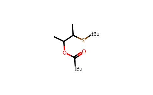 CC(OC(=O)C(C)(C)C)C(C)SC(C)(C)C